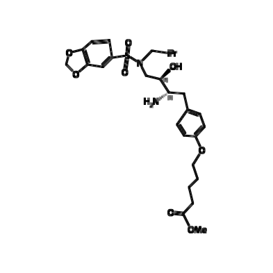 COC(=O)CCCCOc1ccc(C[C@H](N)[C@H](O)CN(CC(C)C)S(=O)(=O)c2ccc3c(c2)OCO3)cc1